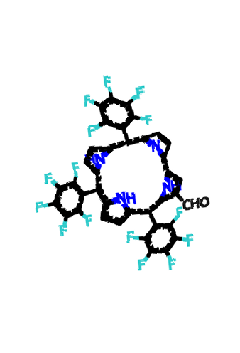 O=Cc1cc2[nH]c1c(-c1c(F)c(F)c(F)c(F)c1F)c1ccc([nH]1)c(-c1c(F)c(F)c(F)c(F)c1F)c1ccc([nH]1)c(-c1c(F)c(F)c(F)c(F)c1F)c1nc2C=C1